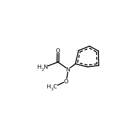 CON(C(N)=O)c1[c]cccc1